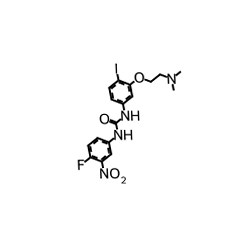 CN(C)CCOc1cc(NC(=O)Nc2ccc(F)c([N+](=O)[O-])c2)ccc1I